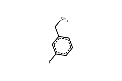 [SiH3]Cc1cccc(I)c1